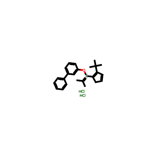 C[C](C)=[Ti]([O]c1cccc(-c2ccccc2)c1)[C]1=C(C(C)(C)C)C=CC1.Cl.Cl